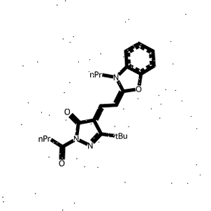 CCCC(=O)N1N=C(C(C)(C)C)/C(=C\C=C2\Oc3ccccc3N2CCC)C1=O